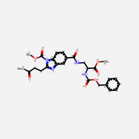 COC(=O)CCc1nc2cc(C(=O)NCC(NC(=O)OCc3ccccc3)C(=O)OC(C)(C)C)ccc2n1C(=O)OC(C)(C)C